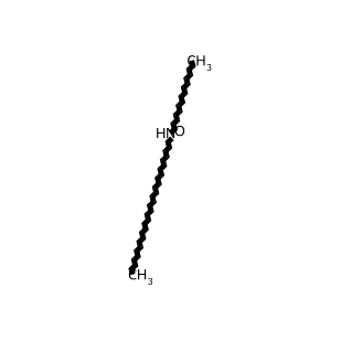 CCCCCCCCCCCCCCCCCCCCCCCCCCCCCCCNC(=O)CCCCCCCCCCCCCCC